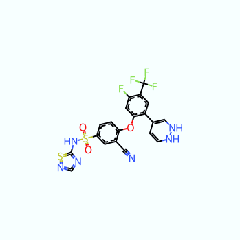 N#Cc1cc(S(=O)(=O)Nc2ncns2)ccc1Oc1cc(F)c(C(F)(F)F)cc1C1=CNNC=C1